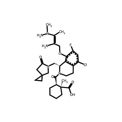 C/C(=C(/N)COc1c(F)cc(Cl)c2c1[C@@H](CN1CC3(CC3)CC1=O)N(C(=O)[C@@H]1CCCC[C@]1(C)C(=O)O)CC2)N(C)N